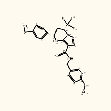 CCc1ccc([C@@H]2C[C@H](C(F)(F)F)n3ncc(C(=O)NCc4ccc(OC)nc4)c3N2)cc1